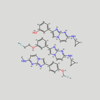 CNc1ccn2cc(-c3ccc(OCF)cc3)nc2n1.FCCOc1cccc(-c2cn3ccc(NC4CC4)nc3n2)c1.Oc1cccc(-c2cn3ccc(NC4CC4)nc3n2)c1